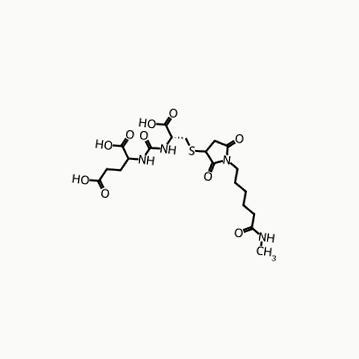 CNC(=O)CCCCCN1C(=O)CC(SC[C@H](NC(=O)NC(CCC(=O)O)C(=O)O)C(=O)O)C1=O